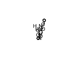 N[C@@H](COCc1ccccc1)C(=O)NC1CCCN(S(=O)(=O)c2ccccn2)CC1=O